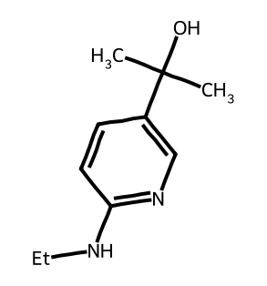 CCNc1ccc(C(C)(C)O)cn1